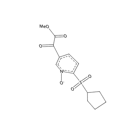 COC(=O)C(=O)c1ccc(S(=O)(=O)C2CCCC2)[n+]([O-])c1